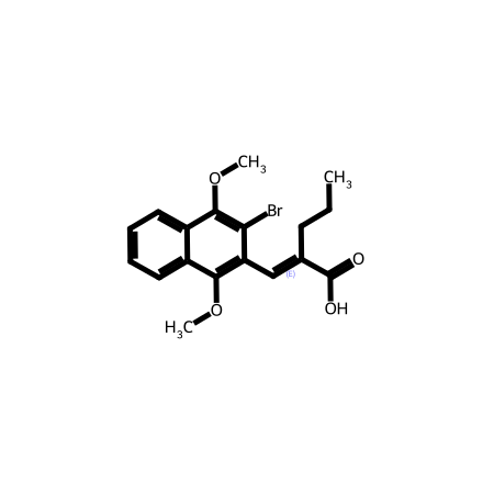 CCC/C(=C\c1c(Br)c(OC)c2ccccc2c1OC)C(=O)O